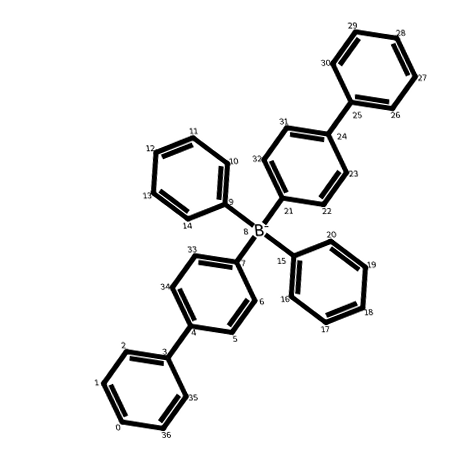 c1ccc(-c2ccc([B-](c3ccccc3)(c3ccccc3)c3ccc(-c4ccccc4)cc3)cc2)cc1